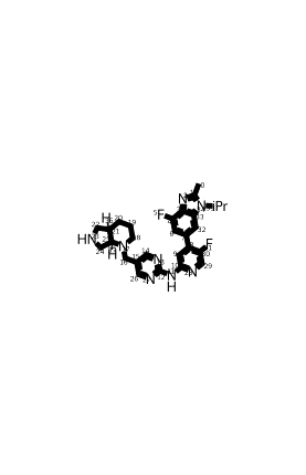 Cc1nc2c(F)cc(-c3cc(Nc4ncc(CN5CCC[C@@H]6CNC[C@@H]65)cn4)ncc3F)cc2n1C(C)C